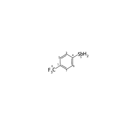 FC(F)(F)c1cc[c]([SbH2])cc1